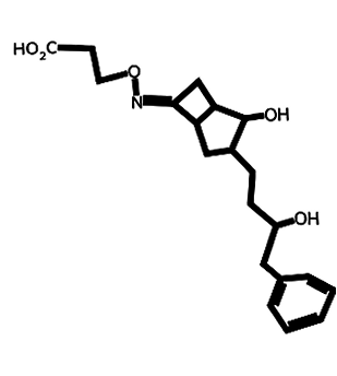 O=C(O)CCON=C1CC2C1CC(CCC(O)Cc1ccccc1)C2O